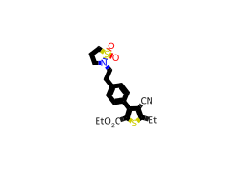 CCOC(=O)c1sc(CC)c(C#N)c1-c1ccc(CCN2CCCS2(=O)=O)cc1